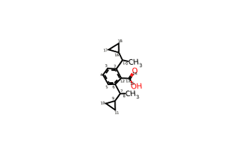 CC(c1cccc(C(C)C2CC2)c1C(=O)O)C1CC1